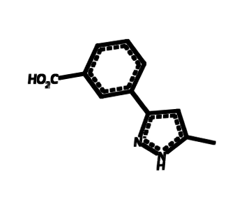 Cc1cc(-c2cccc(C(=O)O)c2)n[nH]1